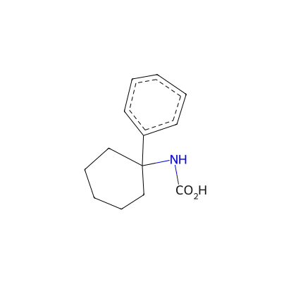 O=C(O)NC1(c2ccccc2)CCCCC1